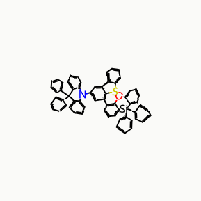 c1ccc(C2(c3ccccc3)c3ccccc3N(c3cc(-c4cccc5c4Oc4ccccc4[Si]5(c4ccccc4)c4ccccc4)c4sc5ccccc5c4c3)c3ccccc32)cc1